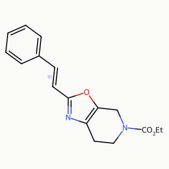 CCOC(=O)N1CCc2nc(/C=C/c3ccccc3)oc2C1